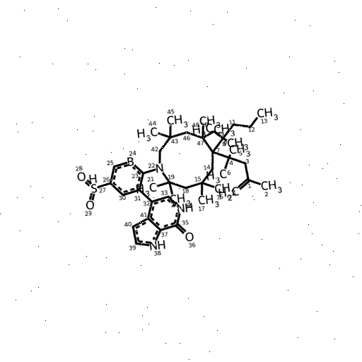 C=C(C)CC(C)(C)C1(C(C)(C)CCC)CC(C)(C)CC(C)(C)N(c2bcc([SH](=O)=O)cc2-c2c[nH]c(=O)c3[nH]ccc23)CC(C)(C)CC1(C)C